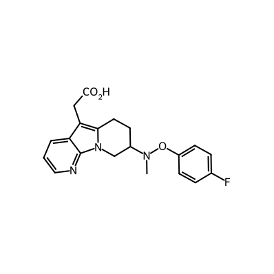 CN(Oc1ccc(F)cc1)C1CCc2c(CC(=O)O)c3cccnc3n2C1